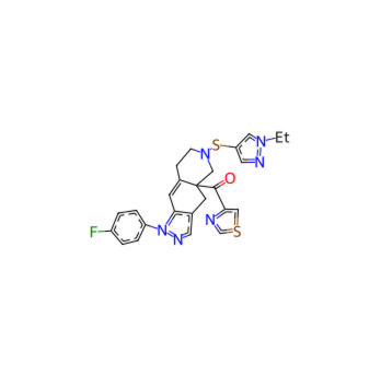 CCn1cc(SN2CCC3=Cc4c(cnn4-c4ccc(F)cc4)CC3(C(=O)c3cscn3)C2)cn1